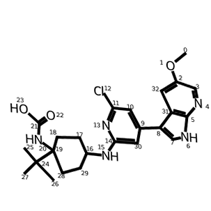 COc1cnc2[nH]cc(-c3cc(Cl)nc(NC4CCC(NC(=O)O)(C(C)(C)C)CC4)c3)c2c1